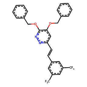 FC(F)(F)c1cc(/C=C/c2cc(OCc3ccccc3)c(OCc3ccccc3)nn2)cc(C(F)(F)F)c1